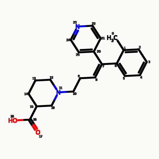 Cc1ccccc1C(=CCCN1CCCC(C(=O)O)C1)c1ccncc1